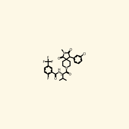 CC(C)[C@@H](NC(=O)c1cc(C(F)(F)F)ccc1F)C(=O)N1CCC2(CC1)C(=O)N(C)C(=O)C2c1cccc(Cl)c1